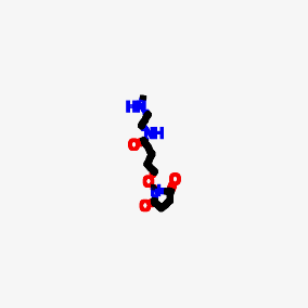 CNCCNC(=O)CCCON1C(=O)CCC1=O